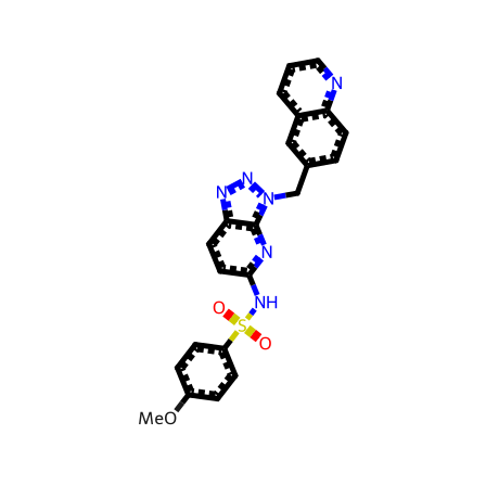 COc1ccc(S(=O)(=O)Nc2ccc3nnn(Cc4ccc5ncccc5c4)c3n2)cc1